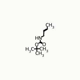 C/C=C/CNC(=O)OC(C)(C)C